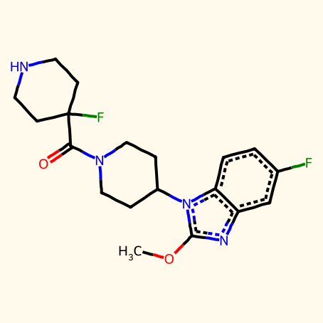 COc1nc2cc(F)ccc2n1C1CCN(C(=O)C2(F)CCNCC2)CC1